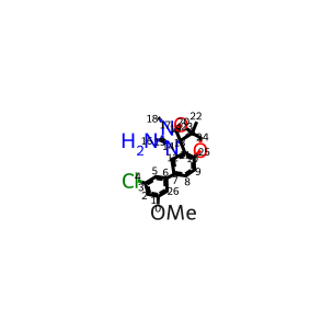 COc1cc(Cl)cc(-c2ccc3c(c2)C2(N=C(N)N(C)C2=O)C(C)(C)CO3)c1